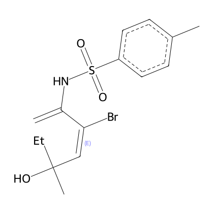 C=C(NS(=O)(=O)c1ccc(C)cc1)/C(Br)=C\C(C)(O)CC